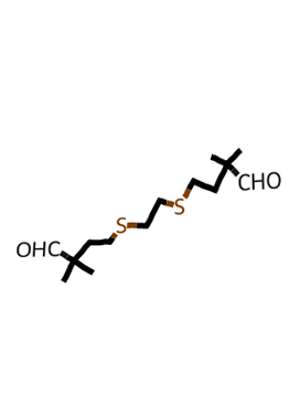 CC(C)(C=O)CCSCCSCCC(C)(C)C=O